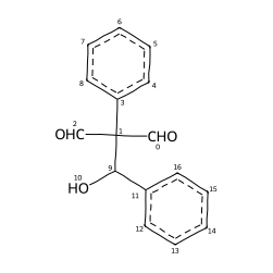 O=CC(C=O)(c1ccccc1)C(O)c1ccccc1